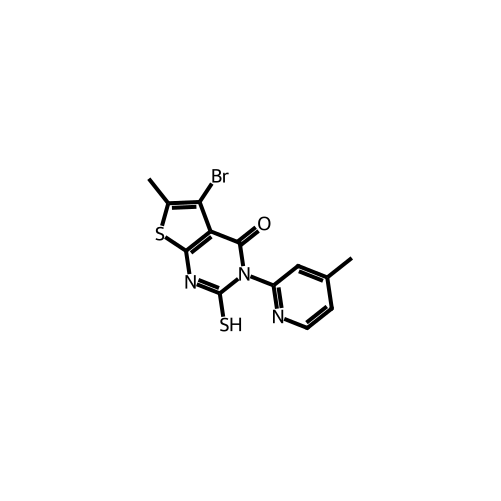 Cc1ccnc(-n2c(S)nc3sc(C)c(Br)c3c2=O)c1